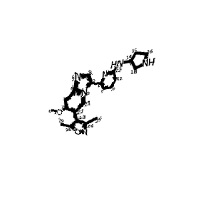 COc1cc2ncc(-c3cccc(NC4CCNC4)n3)n2cc1-c1c(C)noc1C